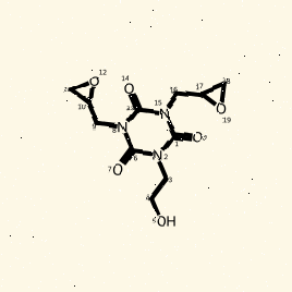 O=c1n(CCO)c(=O)n(CC2CO2)c(=O)n1CC1CO1